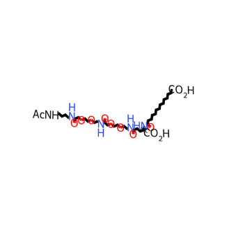 [CH2]C(=O)NCCCCNC(=O)COCCOCCNC(=O)COCCOCCNC(=O)CC[C@H](NC(=O)CCCCCCCCCCCCC(=O)O)C(=O)O